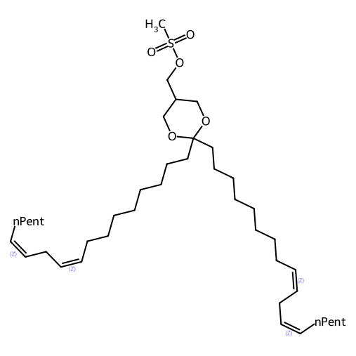 CCCCC/C=C\C/C=C\CCCCCCCCC1(CCCCCCCC/C=C\C/C=C\CCCCC)OCC(COS(C)(=O)=O)CO1